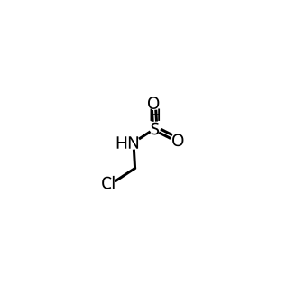 O=[SH](=O)NCCl